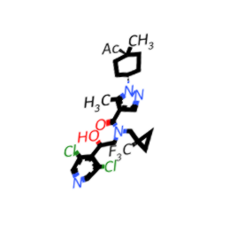 Cc1c(C(=O)N(CC(O)c2c(Cl)cncc2Cl)CC2(C(F)(F)F)CC2)cnn1[C@H]1CC[C@](C)(C(C)=O)CC1